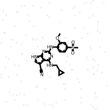 COc1cc(S(C)(=O)=O)ccc1Nc1nc(NCC2CC2)c2c(C#N)c[nH]c2n1